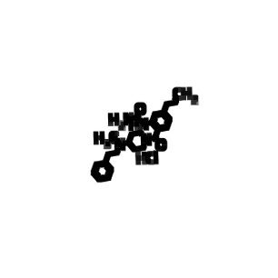 C=CCc1ccc(C(=O)N2CCC(N(C)CCc3ccccc3)CC2)c(NC(N)=O)c1.Cl